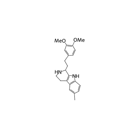 COc1ccc(CCC2NCCc3c2[nH]c2ccc(C)cc32)cc1OC